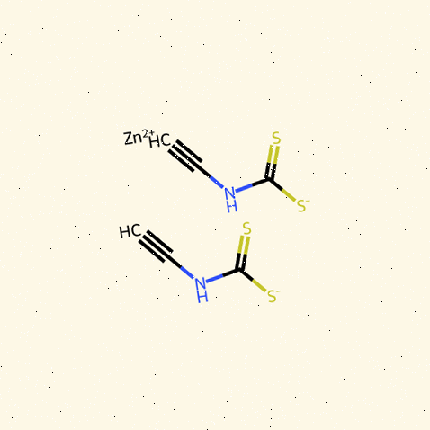 C#CNC(=S)[S-].C#CNC(=S)[S-].[Zn+2]